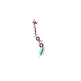 CCC1(COCCCCCCOc2ccc(C(=O)Oc3ccc(OC(F)(F)C(F)(F)C(F)(F)C(F)(F)F)cc3)cc2)COC1